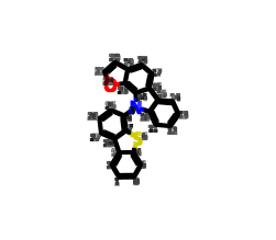 c1ccc2c(c1)sc1c(-n3c4ccccc4c4ccc5ccoc5c43)cccc12